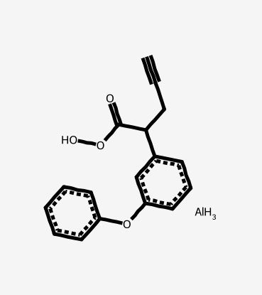 C#CCC(C(=O)OO)c1cccc(Oc2ccccc2)c1.[AlH3]